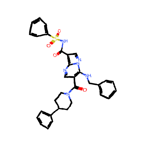 O=C(NS(=O)(=O)c1ccccc1)c1cnn2c(NCc3ccccc3)c(C(=O)N3CCC(c4ccccc4)CC3)cnc12